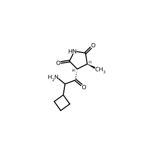 C[C@@H]1C(=O)NC(=O)[C@H]1C(=O)C(N)C1CCC1